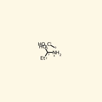 CC(=O)O.CCC(N)O